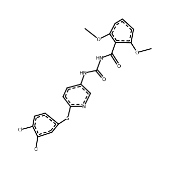 COc1cccc(OC)c1C(=O)NC(=O)Nc1ccc(Sc2ccc(Cl)c(Cl)c2)nc1